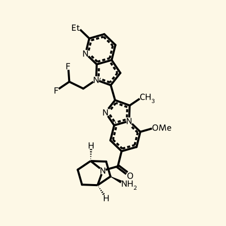 CCc1ccc2cc(-c3nc4cc(C(=O)N5[C@H]6CC[C@@H]5[C@H](N)C6)cc(OC)n4c3C)n(CC(F)F)c2n1